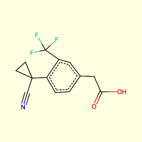 N#CC1(c2ccc(CC(=O)O)cc2C(F)(F)F)CC1